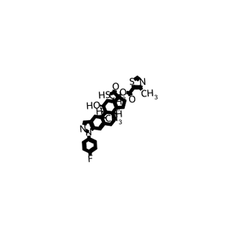 Cc1ncsc1C(=O)O[C@]1(C(=O)S)CC[C@H]2[C@@H]3CCC4=Cc5c(cnn5-c5ccc(F)cc5)C[C@]4(C)[C@H]3[C@@H](O)C[C@@]21C